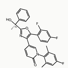 Cc1cc(F)cc(C)c1-n1cc(-c2nc([C@@](C)(O)c3ccccc3)oc2-c2ccc(F)cc2F)ccc1=O